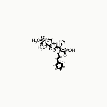 CC(C)C[C@@H](C(=O)NN(CC(C)C)C(=O)[C@@H](C)NS(C)(=O)=O)[C@H](CC=Cc1ccccc1)C(=O)NO